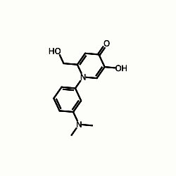 CN(C)c1cccc(-n2cc(O)c(=O)cc2CO)c1